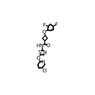 O=C(Nc1ncc(Oc2ccc(Cl)cn2)s1)C1CC(Oc2ccc(F)cc2F)C1